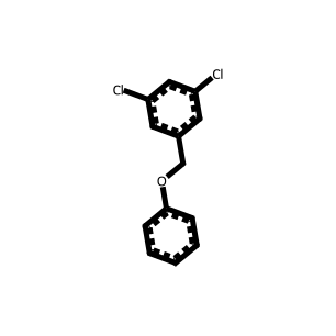 Clc1cc(Cl)cc(COc2cc[c]cc2)c1